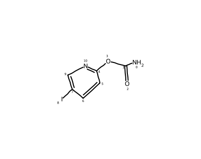 NC(=O)Oc1ccc(I)cn1